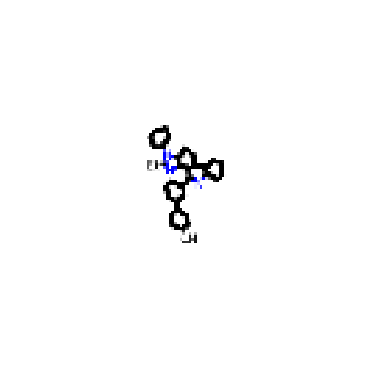 CCc1nc2c3c(-c4cccc(-c5ccc(C#N)cc5)c4)nc4ccccc4c3ccc2n1-c1ccccc1